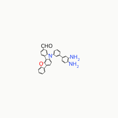 Nc1ccc(-c2cccc(-n3c4cc(C=O)ccc4c4c5oc6ccccc6c5ccc43)c2)cc1N